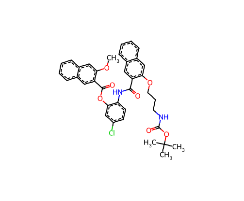 COc1cc2ccccc2cc1C(=O)Oc1cc(Cl)ccc1NC(=O)c1cc2ccccc2cc1OCCCNC(=O)OC(C)(C)C